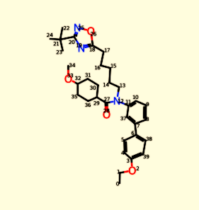 CCOc1ccc(-c2cccc(N(CCCCCc3nc(C(C)(C)C)no3)C(=O)C3CCC(OC)CC3)c2)cc1